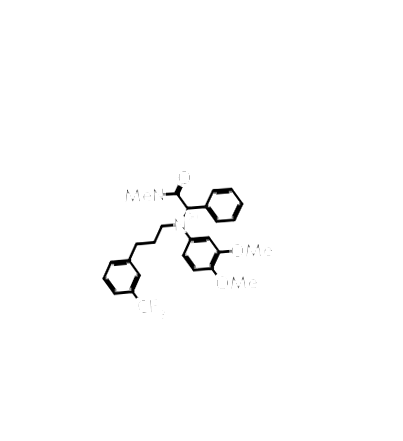 CNC(=O)[C@@H](c1ccccc1)N(CCCc1cccc(C(F)(F)F)c1)c1ccc(OC)c(OC)c1